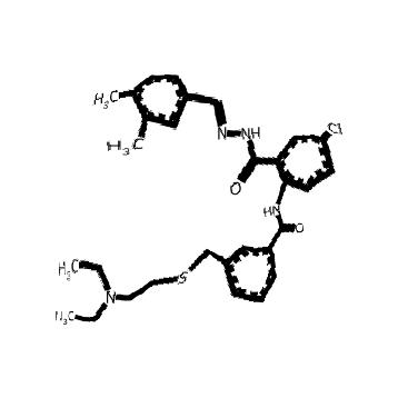 CCN(CC)CCSCc1cccc(C(=O)Nc2ccc(Cl)cc2C(=O)N/N=C/c2ccc(C)c(C)c2)c1